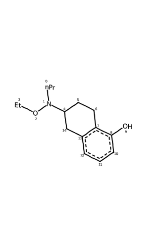 CCCN(OCC)C1CCc2c(O)cccc2C1